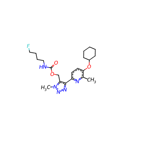 Cc1nc(-c2nnn(C)c2COC(=O)NCCCCF)ccc1OC1CCCCC1